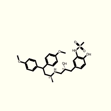 COc1ccc(C(C[C@H](C)NC[C@H](O)Cc2ccc(O)c(NS(C)(=O)=O)c2)c2ccc(OC)cc2)cc1